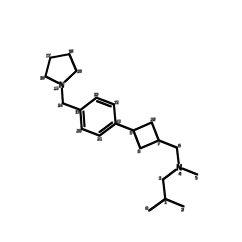 CC(C)CN(C)CC1CC(c2ccc(CN3CCCC3)cc2)C1